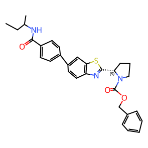 CCC(C)NC(=O)c1ccc(-c2ccc3nc([C@@H]4CCCN4C(=O)OCc4ccccc4)sc3c2)cc1